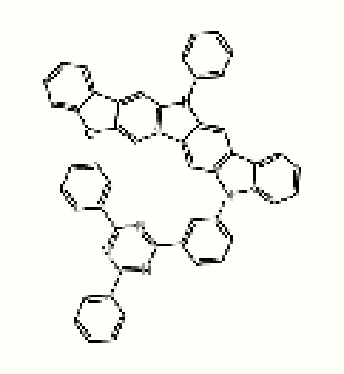 c1ccc(-c2nc(-c3ccccc3)nc(-c3cccc(-n4c5ccccc5c5cc6c(cc54)c4cc5oc7ccccc7c5cc4n6-c4ccccc4)c3)n2)cc1